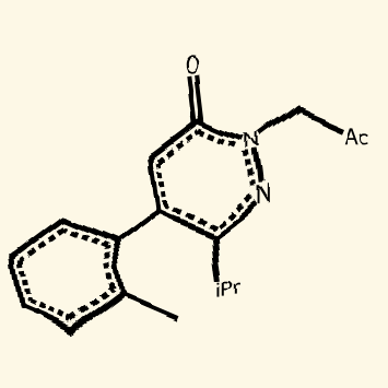 CC(=O)Cn1nc(C(C)C)c(-c2ccccc2C)cc1=O